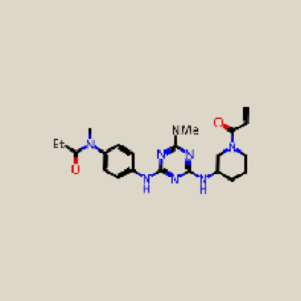 C=CC(=O)N1CCCC(Nc2nc(NC)nc(Nc3ccc(N(C)C(=O)CC)cc3)n2)C1